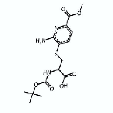 COC(=O)c1ccc(SCC(NC(=O)OC(C)(C)C)C(=O)O)c(N)n1